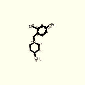 CC1CCN(Cc2ccc(C(C)(C)C)cc2Cl)CC1